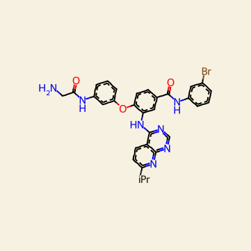 CC(C)c1ccc2c(Nc3cc(C(=O)Nc4cccc(Br)c4)ccc3Oc3cccc(NC(=O)CN)c3)ncnc2n1